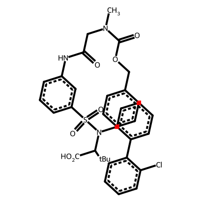 CN(CC(=O)Nc1cccc(S(=O)(=O)N(c2ccccc2-c2ccccc2Cl)C(C(=O)O)C(C)(C)C)c1)C(=O)OCc1ccccc1